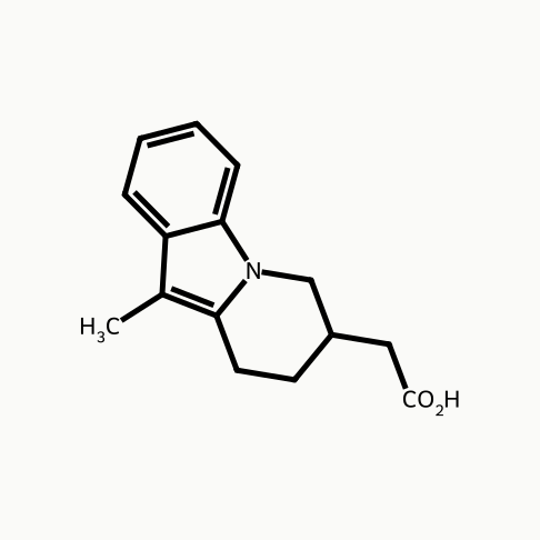 Cc1c2n(c3ccccc13)CC(CC(=O)O)CC2